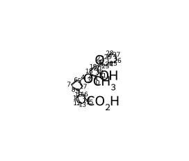 Cc1c(OCc2cccc(-c3cccc(C(=O)O)c3)c2)ccc(C(=O)Cc2ccccc2)c1O